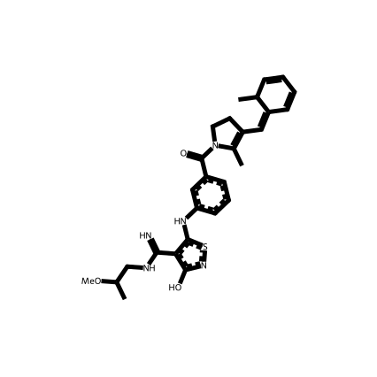 COC(C)CNC(=N)c1c(O)nsc1Nc1cccc(C(=O)N2CCC(/C=C3/C=CC=CC3C)=C2C)c1